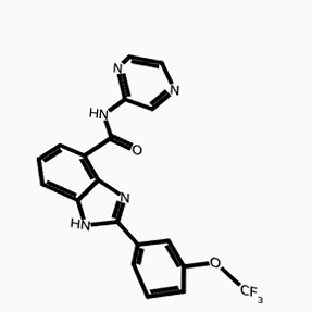 O=C(Nc1cnccn1)c1cccc2[nH]c(-c3cccc(OC(F)(F)F)c3)nc12